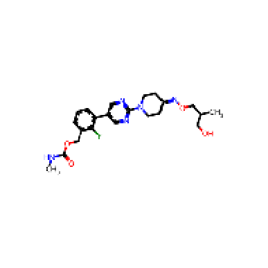 CNC(=O)OCc1cccc(-c2cnc(N3CCC(=NOCC(C)CO)CC3)nc2)c1F